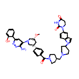 CO[C@@H]1C[C@H](c2ccc(C(=O)N3CCC(CN4CCC(n5ccc6cc(N7CCC(=O)NC7=O)ccc65)CC4)CC3)cc2)CN(c2cc(-c3ccccc3O)nnc2N)C1